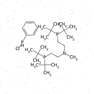 CN(CCP(C(C)(C)C)C(C)(C)C)CCP(C(C)(C)C)C(C)(C)C.[Cl][IrH][c]1ccccc1